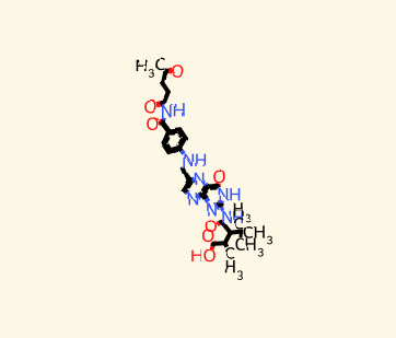 CC(=O)CCC(=O)NC(=O)c1ccc(NCc2cnc3nc(NC(=O)C(C(C)C(=O)O)C(C)(C)C)[nH]c(=O)c3n2)cc1